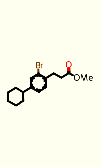 COC(=O)CCc1ccc(C2CCCCC2)cc1Br